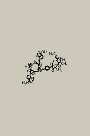 CCCC(=O)N[C@H](C(=O)N[C@@H](C)C(=O)Nc1ccc(CSP2(=O)OC[C@H]3O[C@@H](n4cnc5c(N)ncnc54)[C@H](F)[C@@H]3OP(=O)(O)OC[C@H]3O[C@@H](n4cnc5c(O)ncnc54)C[C@@H]3O2)cc1)C(C)C